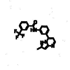 Cc1cc2nccc(-c3cccc(NC(=O)c4cccc(C(F)(F)F)c4)c3)n2n1